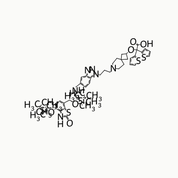 CC(C)(C)[Si](C)(C)Oc1ccc([C@H](CNCc2ccc3c(c2)nnn3CCCN2CCC3(CC2)CC(OC(C(=O)O)(c2cccs2)c2cccs2)C3)O[Si](C)(C)C(C)(C)C)c2sc(=O)[nH]c12